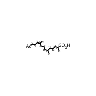 CC(=O)C=CC=C(C)CCCC(C)CCCC(C)C(=O)O